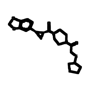 O=C(CSC1CCCC1)N1CCN(C(=O)[C@H]2C[C@H]2c2ccc3c(c2)OCO3)CC1